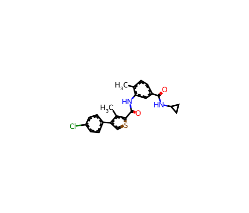 Cc1ccc(C(=O)NC2CC2)cc1NC(=O)c1scc(-c2ccc(Cl)cc2)c1C